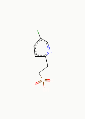 O=S(=O)(O)CCc1ccc(Cl)cn1